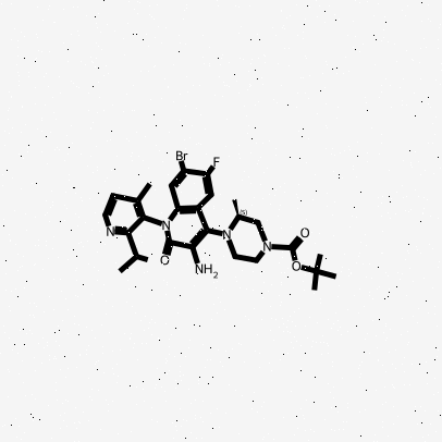 Cc1ccnc(C(C)C)c1-n1c(=O)c(N)c(N2CCN(C(=O)OC(C)(C)C)C[C@@H]2C)c2cc(F)c(Br)cc21